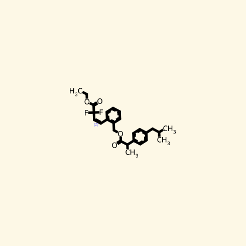 CCOC(=O)C(F)(F)/C=C\c1ccccc1COC(=O)C(C)c1ccc(CC(C)C)cc1